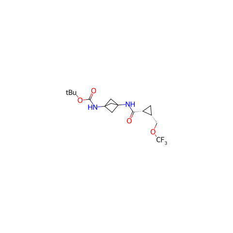 CC(C)(C)OC(=O)NC12CC(NC(=O)[C@@H]3C[C@@H]3COC(F)(F)F)(C1)C2